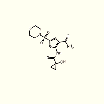 NC(=O)c1cc(S(=O)(=O)N2CCOCC2)sc1NC(=O)C1(O)CC1